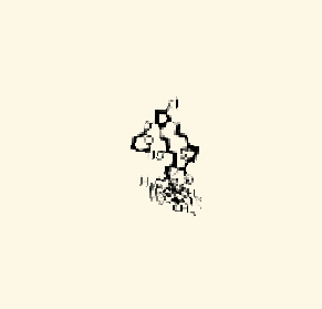 COC(=O)c1ccc(CCC[C@@H]2[C@@H](/C=C/[C@@H](O)CCC[C@H](C)O[Si](C)(C)C(C)(C)C)[C@H](OC3CCCCO3)C[C@H]2Cl)s1